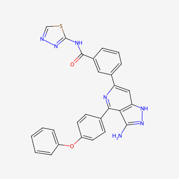 Nc1n[nH]c2cc(-c3cccc(C(=O)Nc4nncs4)c3)nc(-c3ccc(Oc4ccccc4)cc3)c12